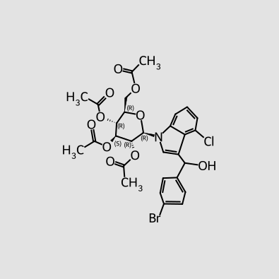 CC(=O)OC[C@H]1O[C@@H](n2cc(C(O)c3ccc(Br)cc3)c3c(Cl)cccc32)[C@H](OC(C)=O)[C@@H](OC(C)=O)[C@@H]1OC(C)=O